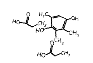 CCC(=O)O.CCC(=O)O.Cc1cc(O)c(C)c(C)c1O